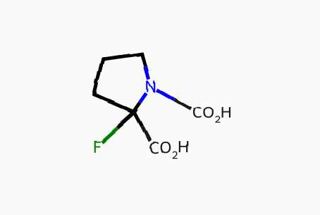 O=C(O)N1CCCC1(F)C(=O)O